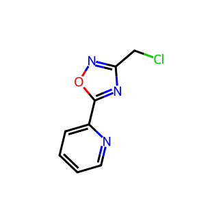 ClCc1noc(-c2ccccn2)n1